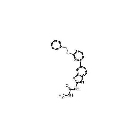 CNC(=O)Nc1nc2ccc(-c3ccnc(OCc4ccccc4)n3)cc2s1